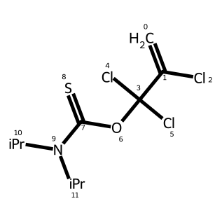 C=C(Cl)C(Cl)(Cl)OC(=S)N(C(C)C)C(C)C